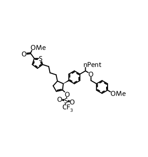 CCCCCC(OCc1ccc(OC)cc1)c1ccc([C@H]2C(OS(=O)(=O)C(F)(F)F)=CCC2CCCc2ccc(C(=O)OC)s2)cc1